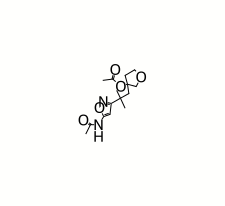 CC(=O)Nc1cc(C(C)(C)CC2(OC(C)=O)CCOC2)no1